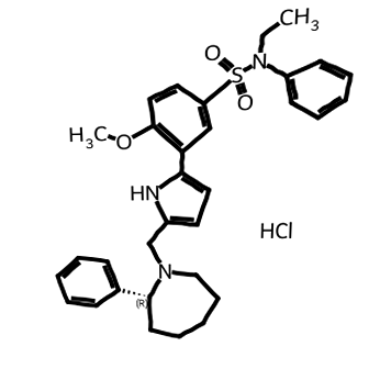 CCN(c1ccccc1)S(=O)(=O)c1ccc(OC)c(-c2ccc(CN3CCCCC[C@@H]3c3ccccc3)[nH]2)c1.Cl